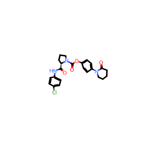 O=C(Nc1ccc(Cl)cc1)[C@H]1CCCN1C(=O)Oc1ccc(N2CCCCC2=O)cc1